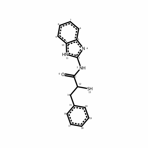 O=C(Nc1nc2ccccc2[nH]1)C(S)Cc1ccccc1